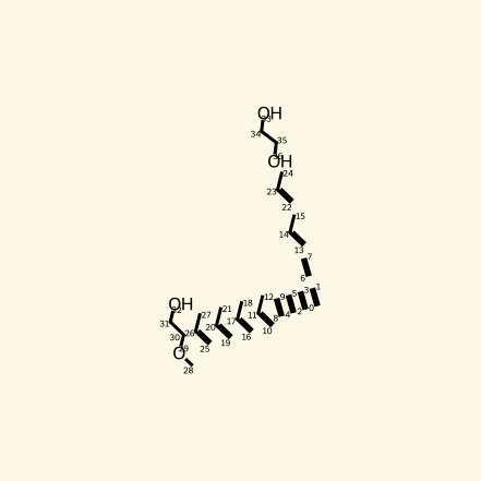 C=C.C=C.C=C.C=C.C=C.C=CC.C=CC.C=CC.C=CC.C=CC.C=CC.COCCO.OCCO